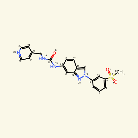 CS(=O)(=O)c1cccc(-n2cc3ccc(NC(=O)NCc4ccncc4)cc3n2)c1